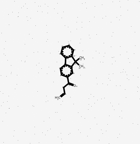 C=CCC(=O)c1ccc2c(c1)C(C)(C)c1ccccc1-2